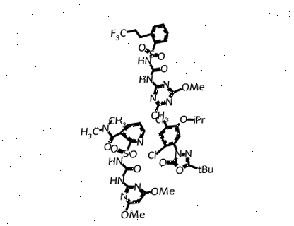 CC(C)Oc1cc(-n2nc(C(C)(C)C)oc2=O)c(Cl)cc1Cl.COc1cc(OC)nc(NC(=O)NS(=O)(=O)c2ncccc2C(=O)N(C)C)n1.COc1nc(C)nc(NC(=O)NS(=O)(=O)c2ccccc2CCC(F)(F)F)n1